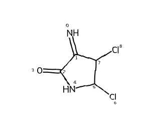 N=C1C(=O)NC(Cl)C1Cl